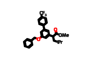 COC(=O)C(CC(C)C)c1cc(OCc2ccccc2)cc(-c2ccc(C(F)(F)F)cc2)c1